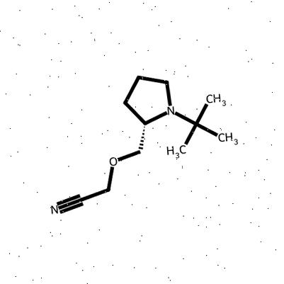 CC(C)(C)N1CCC[C@H]1COCC#N